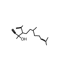 C#CC(C)(O)C(CCC(C)CCC=C(C)C)C(=C)C